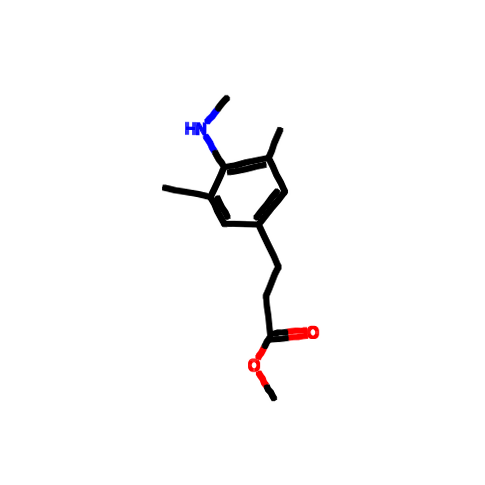 CNc1c(C)cc(CCC(=O)OC)cc1C